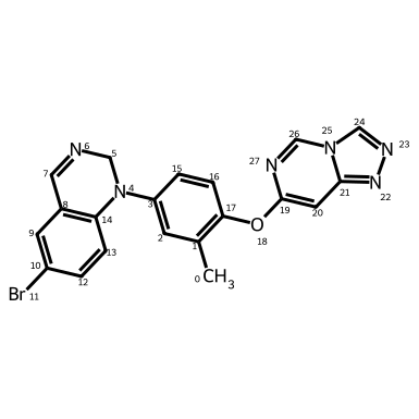 Cc1cc(N2CN=Cc3cc(Br)ccc32)ccc1Oc1cc2nncn2cn1